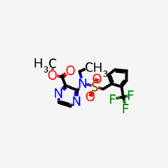 CCN(c1nccnc1C(=O)OC)S(=O)(=O)Cc1ccccc1C(F)(F)F